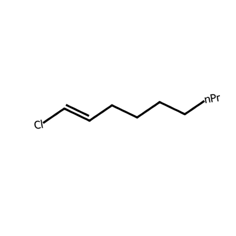 CCCCCCC/C=C/Cl